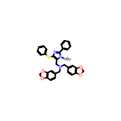 CCCCn1c(-c2ccccc2)nc(Sc2ccccc2)c1CN(Cc1ccc2c(c1)OCO2)Cc1ccc2c(c1)OCO2